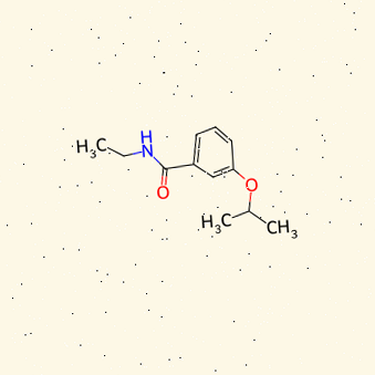 CCNC(=O)c1cccc(OC(C)C)c1